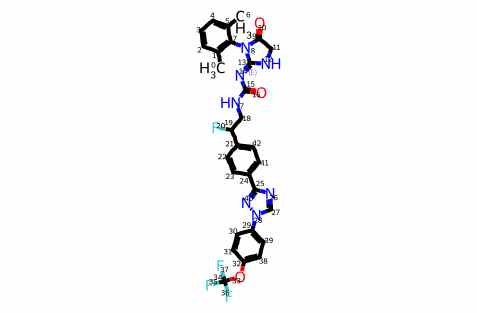 Cc1cccc(C)c1N1C(=O)CN/C1=N\C(=O)NCC(F)c1ccc(-c2ncn(-c3ccc(OC(F)(F)F)cc3)n2)cc1